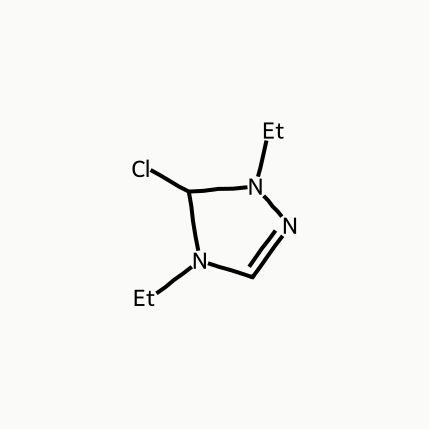 CCN1C=NN(CC)C1Cl